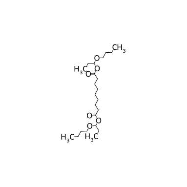 CCCCOC(CC)OC(=O)CCCCCCCC(=O)OC(CC)OCCCC